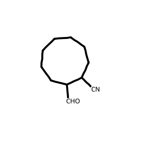 N#CC1CCCCCCCC1C=O